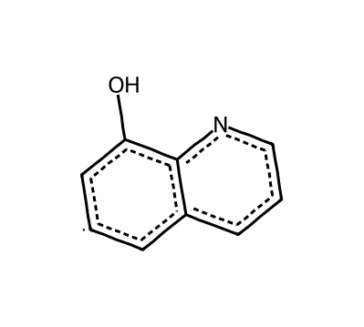 Oc1c[c]cc2cccnc12